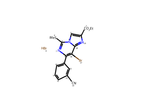 Br.CCOC(=O)c1cn2c(SC)nc(-c3cccc(C#N)c3)c(Br)c2n1